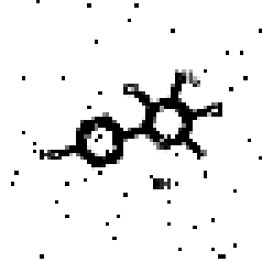 Nc1c(Cl)c(F)nc(-c2ccc(O)cc2)c1Cl.[KH]